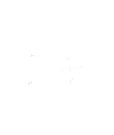 C#CC(C)CCS([O])(=O)=O